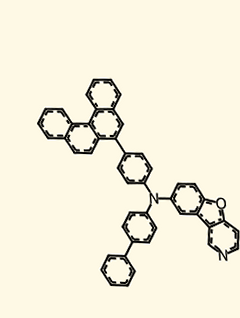 c1ccc(-c2ccc(N(c3ccc(-c4cc5ccccc5c5c4ccc4ccccc45)cc3)c3ccc4oc5ccncc5c4c3)cc2)cc1